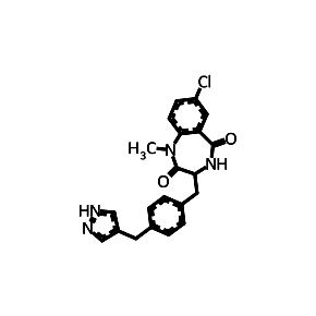 CN1C(=O)C(Cc2ccc(Cc3cn[nH]c3)cc2)NC(=O)c2cc(Cl)ccc21